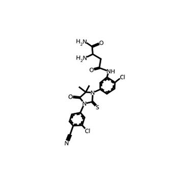 CC1(C)C(=O)N(c2ccc(C#N)c(Cl)c2)C(=S)N1c1ccc(Cl)c(NC(=O)CC(N)C(N)=O)c1